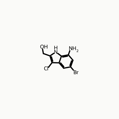 Nc1cc(Br)cc2c(Cl)c(CO)[nH]c12